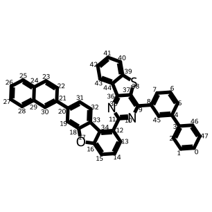 c1ccc(-c2cccc(-c3nc(-c4cccc5oc6cc(-c7ccc8ccccc8c7)ccc6c45)nc4c3sc3ccccc34)c2)cc1